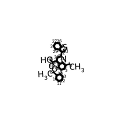 CCc1ccc(OC(C)c2ccccc2)c2c(C(=O)O)cc(-c3csc4ccccc34)nc12